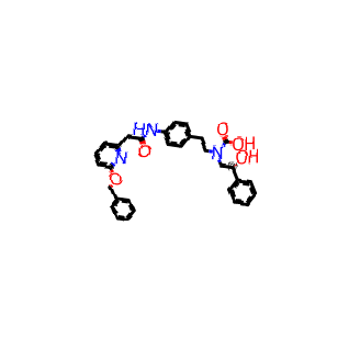 O=C(Cc1cccc(OCc2ccccc2)n1)Nc1ccc(CCN(C[C@H](O)c2ccccc2)C(=O)O)cc1